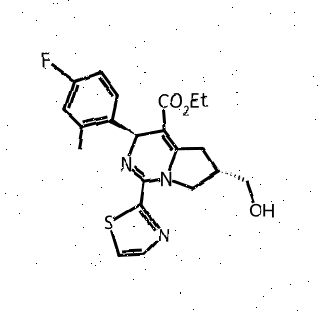 CCOC(=O)C1=C2C[C@H](CO)CN2C(c2nccs2)=N[C@H]1c1ccc(F)cc1C